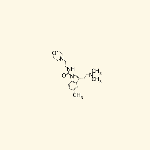 Cc1ccc2c(c1)c(CCN(C)C)cn2C(=O)NCCN1CCOCC1